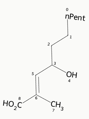 CCCCCCCC(O)C=C(C)C(=O)O